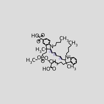 CCCCC[N+]1=C(/C=C/C=C/C=C2\N(CCCC)c3ccc(S(=O)(=O)O)cc3C2(C)CCP(=O)(OCC)OCC)C(C)(CCCCCC(=O)O)c2ccccc21